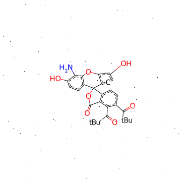 CC(C)(C)C(=O)c1ccc2c(c1C(=O)C(C)(C)C)C(=O)OC21c2ccc(O)cc2Oc2c1ccc(O)c2N